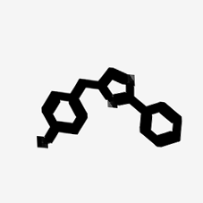 Brc1ccc(CC2C=NC(c3ccccc3)=N2)cc1